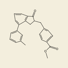 COC(=O)c1ccc(CC2Cc3c(cccc3-c3cccc(C)c3)C2=O)cc1